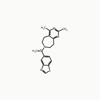 Cc1nc(C)c2c(n1)CCN([C@H](C)c1ccc3scnc3c1)CC2